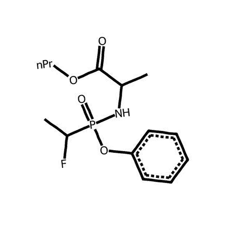 CCCOC(=O)C(C)NP(=O)(Oc1ccccc1)C(C)F